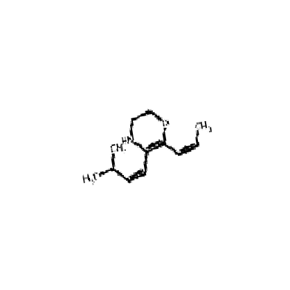 C/C=C\C1=C(/C=C\C(C)C)NCCO1